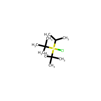 CC(C)S(Cl)(C(C)(C)C)C(C)(C)C